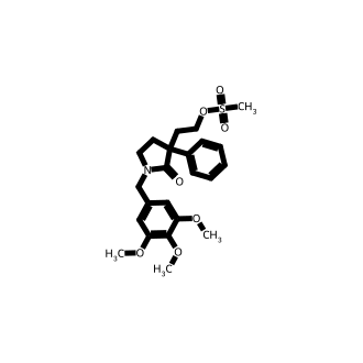 COc1cc(CN2CCC(CCOS(C)(=O)=O)(c3ccccc3)C2=O)cc(OC)c1OC